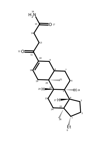 CC[C@H]1CC[C@H]2[C@@H]3CCC4CC(C(=O)CCC(N)=O)=CC[C@]4(C)[C@H]3CC[C@]12C